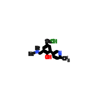 CCN(CC)Cc1cc(C(C)(C)C)cc(-c2ccc(C(F)(F)F)nc2)c1O.Cl